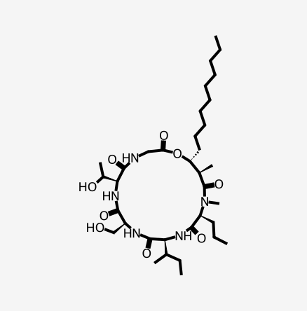 CCCCCCCCCC[C@H]1OC(=O)CNC(=O)[C@H](C(C)O)NC(=O)[C@H](CO)NC(=O)[C@H](C(C)CC)NC(=O)[C@H](CCC)N(C)C(=O)[C@@H]1C